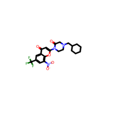 O=C1CN(CC2CCCCC2)CCN1c1cc(=O)c2cc(C(F)(F)F)cc([N+](=O)[O-])c2o1